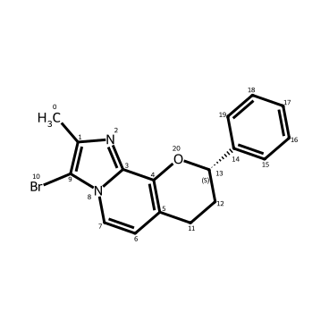 Cc1nc2c3c(ccn2c1Br)CC[C@@H](c1ccccc1)O3